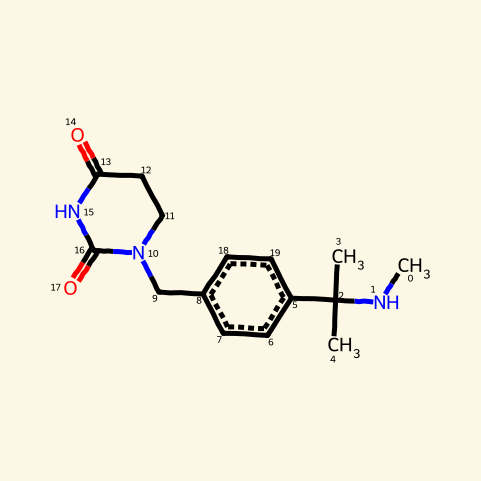 CNC(C)(C)c1ccc(CN2CCC(=O)NC2=O)cc1